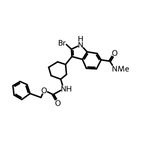 CNC(=O)c1ccc2c(C3CCCC(NC(=O)OCc4ccccc4)C3)c(Br)[nH]c2c1